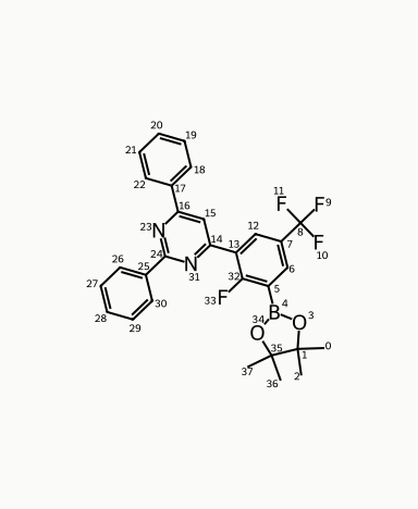 CC1(C)OB(c2cc(C(F)(F)F)cc(-c3cc(-c4ccccc4)nc(-c4ccccc4)n3)c2F)OC1(C)C